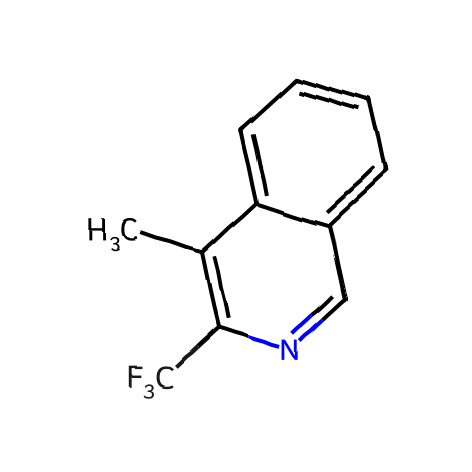 Cc1c(C(F)(F)F)ncc2ccccc12